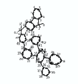 CC1(C)c2ccccc2-c2cc3c(cc21)-c1cc(-c2cccc(-c4nc(-c5ccccc5)c(-c5ccccc5)nc4-c4ccccc4)c2)ccc1C3(C)C